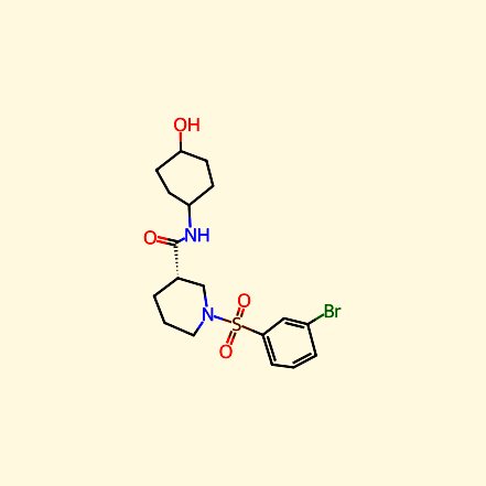 O=C(NC1CCC(O)CC1)[C@H]1CCCN(S(=O)(=O)c2cccc(Br)c2)C1